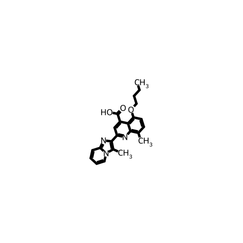 CCCCOc1ccc(C)c2nc(-c3nc4ccccn4c3C)cc(C(=O)O)c12